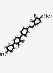 CCCCCCC1CCC(CCC2CCC(C3CCC(C4CCC(CCCCC)CC4)C(F)C3F)CC2)C(F)[C@H]1F